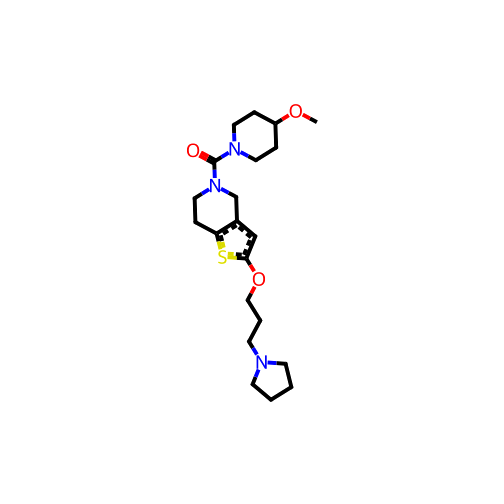 COC1CCN(C(=O)N2CCc3sc(OCCCN4CCCC4)cc3C2)CC1